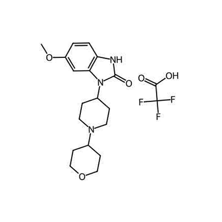 COc1ccc2[nH]c(=O)n(C3CCN(C4CCOCC4)CC3)c2c1.O=C(O)C(F)(F)F